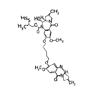 C=C1C[C@H]2C=Nc3cc(OCCCCCOc4cc5c(cc4OC)C(=O)N4CC(=C)C[C@H]4[C@H](O)N5C(=O)OC[C@@H](C)SS)c(OC)cc3C(=O)N2C1